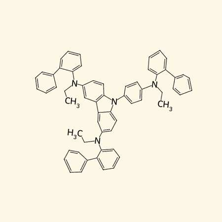 CCN(c1ccc(-n2c3ccc(N(CC)c4ccccc4-c4ccccc4)cc3c3cc(N(CC)c4ccccc4-c4ccccc4)ccc32)cc1)c1ccccc1-c1ccccc1